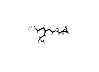 CCCC(CCC)CCOCC1CS1